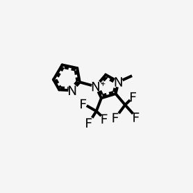 Cn1c[n+](-c2ccccn2)c(C(F)(F)F)c1C(F)(F)F